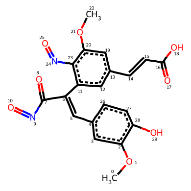 COc1cc(/C=C(/C(=O)N=O)c2cc(/C=C/C(=O)O)cc(OC)c2N=O)ccc1O